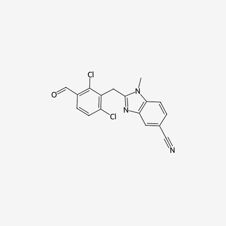 Cn1c(Cc2c(Cl)ccc(C=O)c2Cl)nc2cc(C#N)ccc21